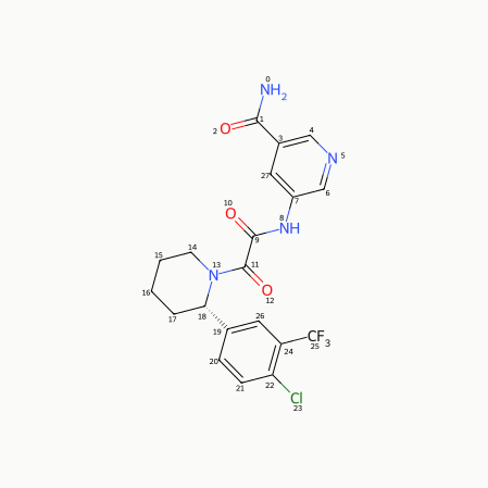 NC(=O)c1cncc(NC(=O)C(=O)N2CCCC[C@H]2c2ccc(Cl)c(C(F)(F)F)c2)c1